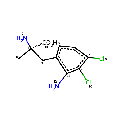 C[C@@](N)(Cc1ccc(Cl)c(Cl)c1N)C(=O)O